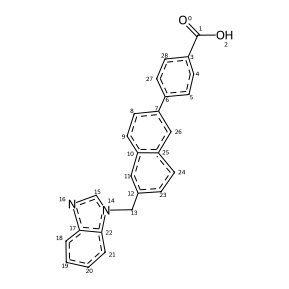 O=C(O)c1ccc(-c2ccc3cc(Cn4cnc5ccccc54)ccc3c2)cc1